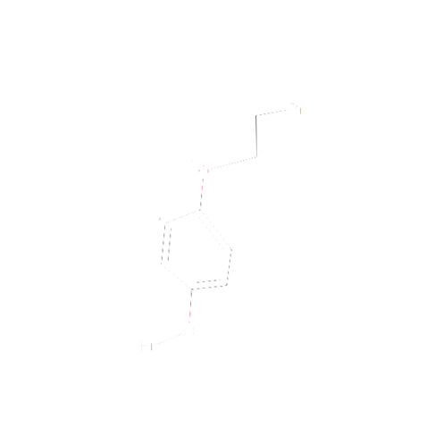 CCOc1ccc(OCCBr)cc1